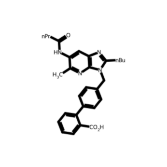 CCCCc1nc2cc(NC(=O)CCC)c(C)nc2n1Cc1ccc(-c2ccccc2C(=O)O)cc1